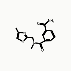 Cc1csc(CN(C)C(=O)c2cccc(C(N)=O)c2)n1